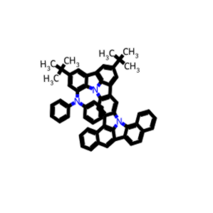 CC(C)(C)c1cc(N(c2ccccc2)c2ccccc2)c2c(c1)c1cc(C(C)(C)C)cc3c4cc5c(cc4n2c31)c1c2ccccc2cc2c3ccc4ccccc4c3n5c21